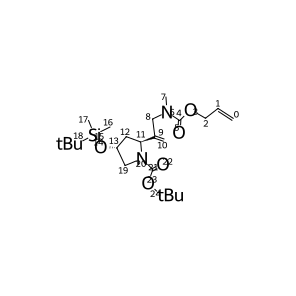 C=CCOC(=O)N(C)CC(=C)[C@@H]1C[C@@H](O[Si](C)(C)C(C)(C)C)CN1C(=O)OC(C)(C)C